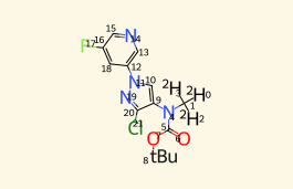 [2H]C([2H])([2H])N(C(=O)OC(C)(C)C)c1cn(-c2cncc(F)c2)nc1Cl